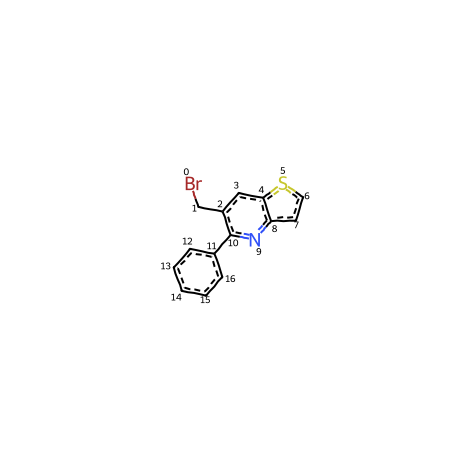 BrCc1cc2sccc2nc1-c1ccccc1